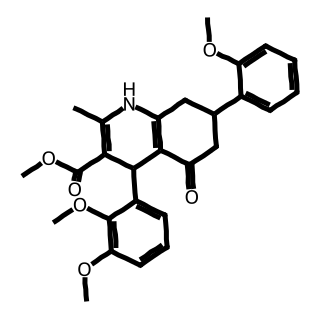 COC(=O)C1=C(C)NC2=C(C(=O)CC(c3ccccc3OC)C2)C1c1cccc(OC)c1OC